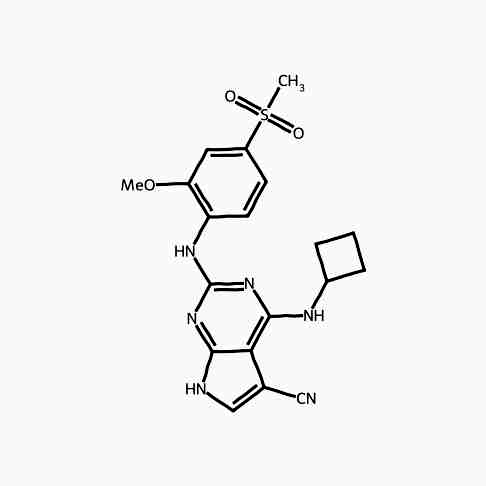 COc1cc(S(C)(=O)=O)ccc1Nc1nc(NC2CCC2)c2c(C#N)c[nH]c2n1